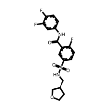 O=C(Nc1ccc(F)c(F)c1)c1cc(S(=O)(=O)NC[C@H]2CCOC2)ccc1F